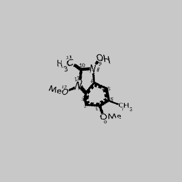 COc1cc2c(cc1C)N(O)C(C)N2OC